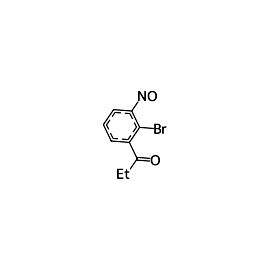 CCC(=O)c1cccc(N=O)c1Br